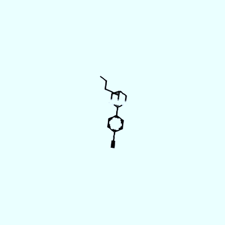 C#Cc1ccc(C23OCC(CO2)C(CCC)O3)cc1